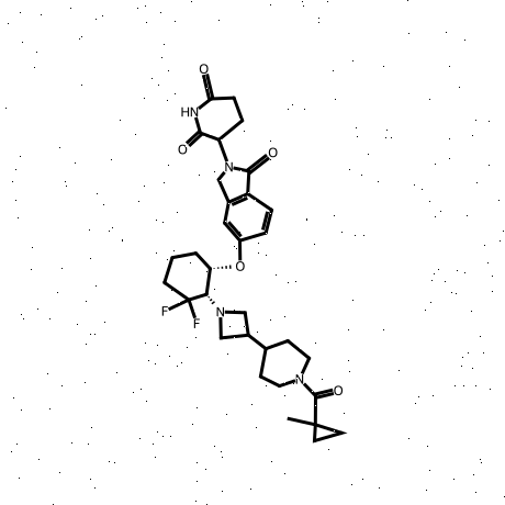 CC1(C(=O)N2CCC(C3CN([C@H]4[C@@H](Oc5ccc6c(c5)CN(C5CCC(=O)NC5=O)C6=O)CCCC4(F)F)C3)CC2)CC1